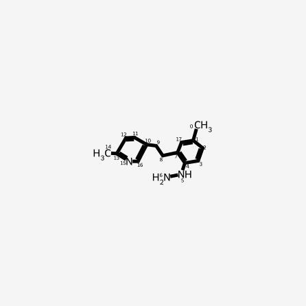 Cc1ccc(NN)c(CCc2ccc(C)nc2)c1